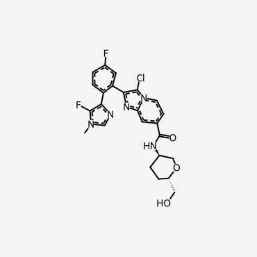 Cn1cnc(-c2ccc(F)cc2-c2nc3cc(C(=O)N[C@@H]4CC[C@@H](CO)OC4)ccn3c2Cl)c1F